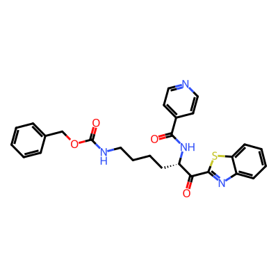 O=C(NCCCC[C@H](NC(=O)c1ccncc1)C(=O)c1nc2ccccc2s1)OCc1ccccc1